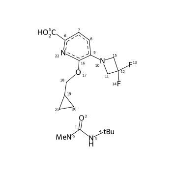 CNC(=O)NC(C)(C)C.O=C(O)c1ccc(N2CC(F)(F)C2)c(OCC2CC2)n1